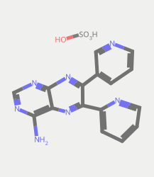 Nc1ncnc2nc(-c3cccnc3)c(-c3ccccn3)nc12.O=S(=O)(O)O